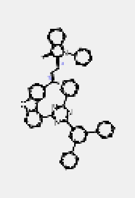 C=c1/c(=C\C=C(/C)c2ccc3oc4cccc(-c5nc(-c6ccccc6)nc(-c6cc(-c7ccccc7)cc(-c7ccccc7)c6)n5)c4c3c2)n(-c2ccccc2)c2ccccc12